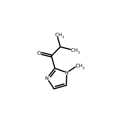 CC(C)C(=O)c1n[c]cn1C